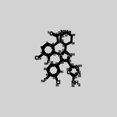 CNC(=O)Cc1ccc(Cl)c(F)c1-n1c(C2CCCCC2)nc(-c2nnc(N)o2)c1-c1ccc(F)c(Cl)c1